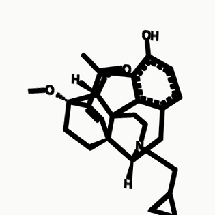 CO[C@@]12CC[C@]3(C=C1C(C)=O)[C@H]1Cc4ccc(O)c5c4C3(CCN1CC1CC1)[C@H]2O5